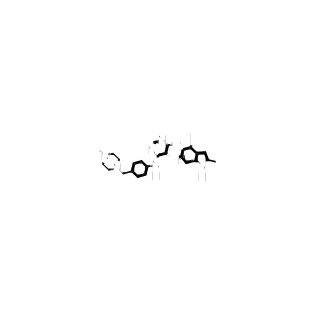 Cc1cc2c(F)c(Oc3ncnc(Nc4ccc(CN5CCN(C)CC5)cc4)c3C#N)ccc2[nH]1